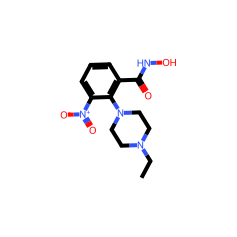 CCN1CCN(c2c(C(=O)NO)cccc2[N+](=O)[O-])CC1